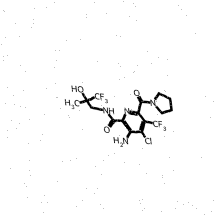 CC(O)(CNC(=O)c1nc(C(=O)N2CCCC2)c(C(F)(F)F)c(Cl)c1N)C(F)(F)F